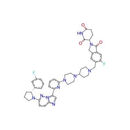 O=C1CCC(N2Cc3cc(CN4CCC(N5CCN(c6cccc(-c7cnc8ccc(N9CCC[C@@H]9c9cccc(F)c9)nn78)n6)CC5)CC4)c(F)cc3C2=O)C(=O)N1